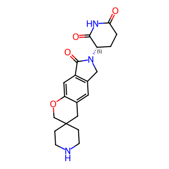 O=C1CC[C@H](N2Cc3cc4c(cc3C2=O)OCC2(CCNCC2)C4)C(=O)N1